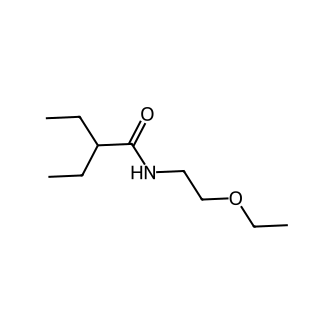 CCOCCNC(=O)C(CC)CC